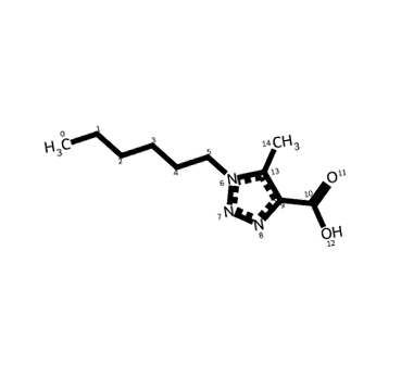 CCCCCCn1nnc(C(=O)O)c1C